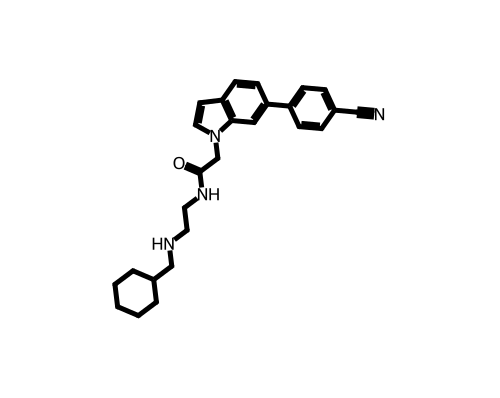 N#Cc1ccc(-c2ccc3ccn(CC(=O)NCCNCC4CCCCC4)c3c2)cc1